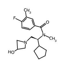 Cc1cc(C(=O)N(C)[C@H](CN2CC(O)C2)C2CCCC2)ccc1F